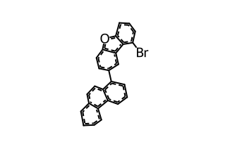 Brc1cccc2oc3ccc(-c4cccc5c4ccc4ccccc45)cc3c12